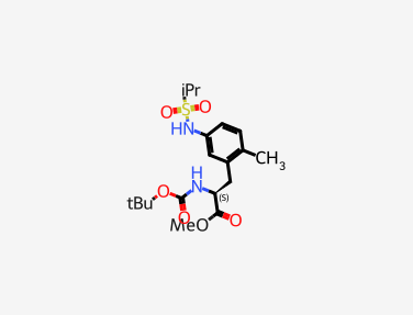 COC(=O)[C@H](Cc1cc(NS(=O)(=O)C(C)C)ccc1C)NC(=O)OC(C)(C)C